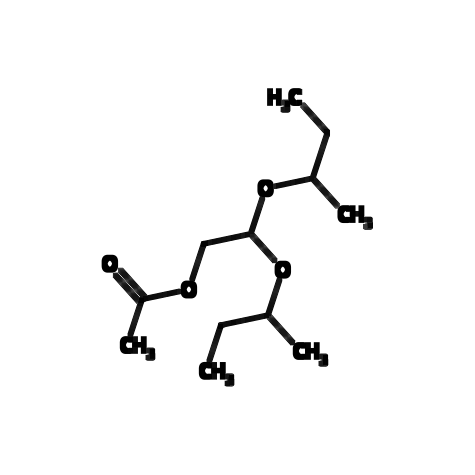 CCC(C)OC(COC(C)=O)OC(C)CC